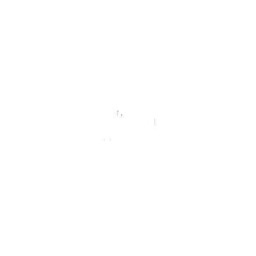 ClC1=NCO[CH]1